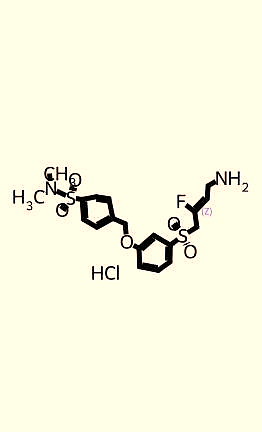 CN(C)S(=O)(=O)c1ccc(COc2cccc(S(=O)(=O)C/C(F)=C/CN)c2)cc1.Cl